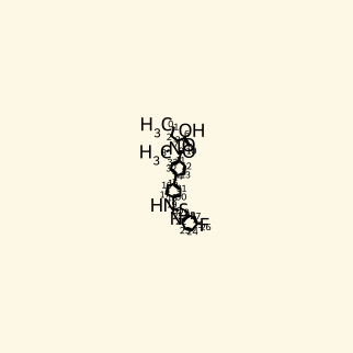 CCCC(C(=O)O)N(C)C(=O)c1ccc(-c2ccc(Nc3nc4ccc(F)cc4s3)cc2)cc1